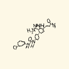 CN(C)C(=O)C=Cc1ccc(-c2ccc(NC(=O)Nc3cccc(Cl)c3)cc2)c2c(N)n[nH]c12